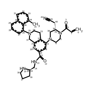 C=CC(=O)N1CCN(c2cc(C(=O)NC[C@H]3CCCN3)nc3c2CCN(c2cccc4cccc(C)c24)C3)C[C@@H]1CC#N